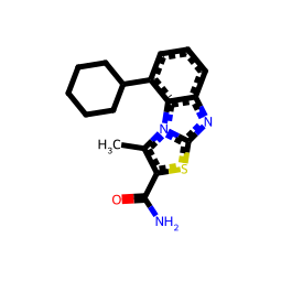 Cc1c(C(N)=O)sc2nc3cccc(C4CCCCC4)c3n12